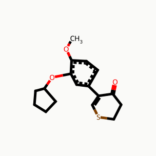 COc1ccc(C2=CSCCC2=O)cc1OC1CCCC1